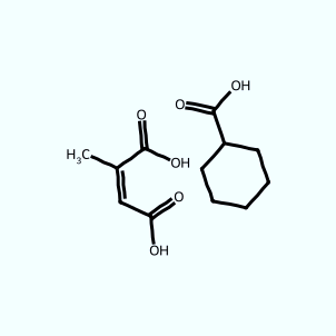 CC(=CC(=O)O)C(=O)O.O=C(O)C1CCCCC1